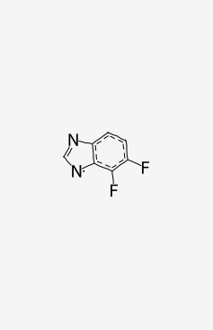 Fc1ccc2c(c1F)[N]C=N2